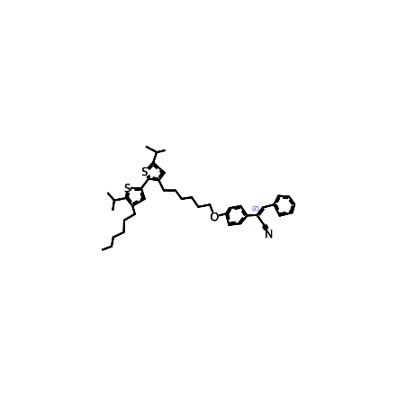 CCCCCCc1cc(-c2sc(C(C)C)cc2CCCCCCOc2ccc(/C(C#N)=C/c3ccccc3)cc2)sc1C(C)C